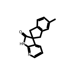 Cc1ccc2c(c1)CC1(C2)C(=O)Nc2ncccc21